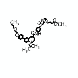 CCCCOCCOc1ccc(-c2ccc3c(c2)/C=C(/C(=O)Nc2ccc([S+]([O-])Cc4nccn4CCCC(=O)OCC)cc2)CCCN3CC(C)C)cc1